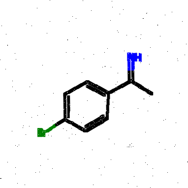 CC(=N)c1ccc(Br)cc1